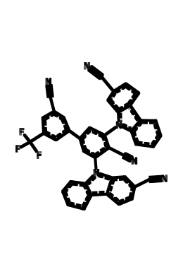 N#Cc1cc(-c2cc(-n3c4ccccc4c4ccc(C#N)cc43)c(C#N)c(-n3c4ccccc4c4ccc(C#N)cc43)c2)cc(C(F)(F)F)c1